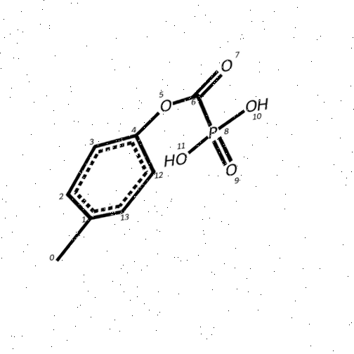 Cc1ccc(OC(=O)P(=O)(O)O)cc1